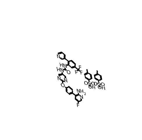 Cc1ccc(S(=O)(=O)O)cc1.Cc1ccc(S(=O)(=O)O)cc1.Nc1ncc(F)cc1-c1ccc(Oc2ncc(NC(=O)Nc3cc(C(F)(F)F)ccc3-c3cccnc3)cn2)cc1